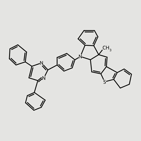 CC12C=c3c4c(sc3=CC1N(c1ccc(-c3nc(-c5ccccc5)cc(-c5ccccc5)n3)cc1)c1ccccc12)CCC=C4